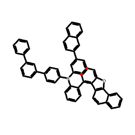 c1ccc(-c2cccc(-c3ccc(N(c4cccc(-c5ccc6ccccc6c5)c4)c4ccccc4-c4cccc5oc6c7ccccc7ccc6c45)cc3)c2)cc1